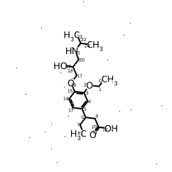 CCOc1cc(C(CC)CC(=O)O)ccc1OCC(O)CNC(C)C